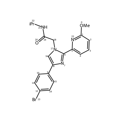 COc1cccc(-c2nc(-c3ccc(Br)cc3)cn2CC(=O)NC(C)C)n1